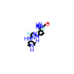 COCCn1nnnc1-c1cc(Nc2ncc(F)c(NC3CC(C)(C)NC(C)(C)C3)n2)ccc1F